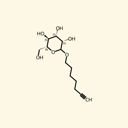 C#CCCCCCOC1O[C@H](CO)[C@@H](O)[C@H](O)[C@@H]1O